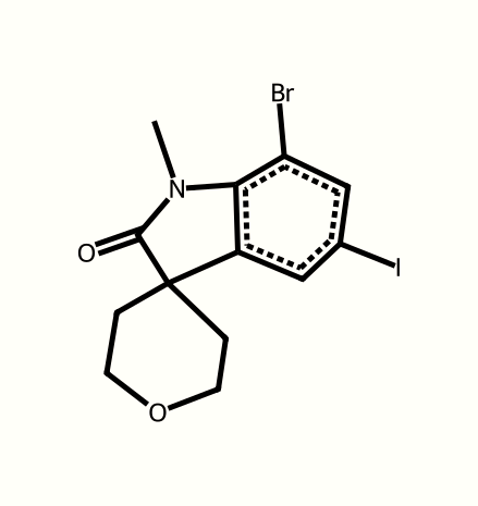 CN1C(=O)C2(CCOCC2)c2cc(I)cc(Br)c21